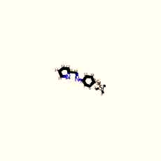 C[Si](C)(C)Sc1ccc(N=Cc2ccccn2)cc1